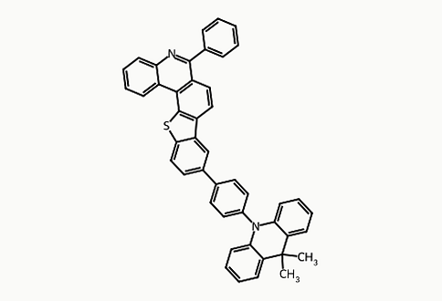 CC1(C)c2ccccc2N(c2ccc(-c3ccc4sc5c(ccc6c(-c7ccccc7)nc7ccccc7c65)c4c3)cc2)c2ccccc21